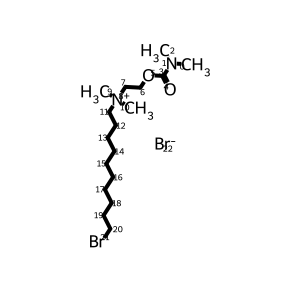 CN(C)C(=O)OCC[N+](C)(C)CCCCCCCCCCBr.[Br-]